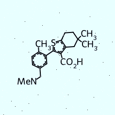 CNCc1ccc(C)c(-c2sc3c(c2C(=O)O)CC(C)(C)CC3)c1